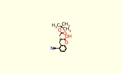 CC(C)(C)OC(=O)C[C@@H](Cc1ccccc1C#N)C(=O)O